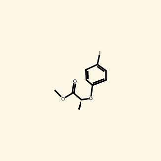 COC(=O)[C@H](C)Oc1ccc(I)cc1